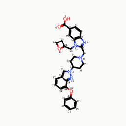 O=C(O)c1ccc2nc(CN3CCC(n4cc5cccc(Oc6ccccc6)c5n4)CC3)n(CC3CCO3)c2c1